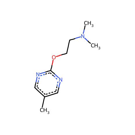 Cc1cnc(OCCN(C)C)nc1